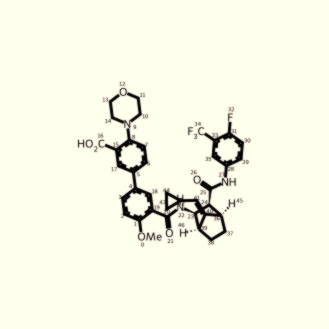 COc1ccc(-c2ccc(N3CCOCC3)c(C(=O)O)c2)cc1C(=O)N[C@H]1[C@@H](C(=O)Nc2ccc(F)c(C(F)(F)F)c2)[C@H]2CC[C@@H]1/C2=C\C1CC1